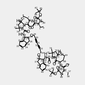 CC[C@@H](C(=O)N[C@H]1CCS[C@H]2CC(C)(C)[C@@H](C(=O)N[C@H]3c4ccccc4C[C@H]3OCC#CC#CCO[C@@H]3Cc4ccccc4[C@@H]3NC(=O)[C@H]3N4C(=O)[C@@H](NC(=O)[C@H](CC)N(C)C(=O)OC(C)(C)C)CCS[C@H]4CC3(C)C)N2C1=O)N(C)C(=O)OC(C)(C)C